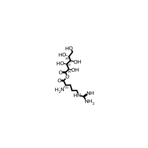 N=C(N)NCCC[C@H](N)C(=O)OC(=O)[C@H](O)[C@@H](O)[C@H](O)[C@H](O)CO